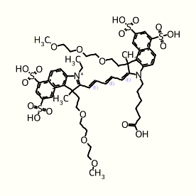 CC[N+]1=C(/C=C/C=C/C=C2/N(CCCCCC(=O)O)c3ccc4c(S(=O)(=O)O)cc(S(=O)(=O)O)cc4c3C2(C)CCOCCOCCOC)C(C)(CCOCCOCCOC)c2c1ccc1c(S(=O)(=O)O)cc(S(=O)(=O)O)cc21